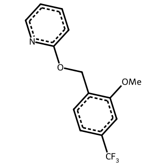 COc1cc(C(F)(F)F)ccc1COc1ccccn1